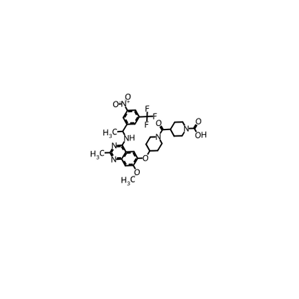 COc1cc2nc(C)nc(NC(C)c3cc([N+](=O)[O-])cc(C(F)(F)F)c3)c2cc1OC1CCN(C(=O)C2CCN(C(=O)O)CC2)CC1